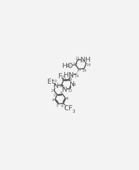 CCN(Cc1ccc(C(F)(F)F)cc1)c1ncnc(NC[C@H]2CCNC[C@@H]2O)c1F